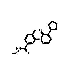 CONC(=O)c1ccc(C)c(-n2ccnc(C3CCCC3)c2=O)c1